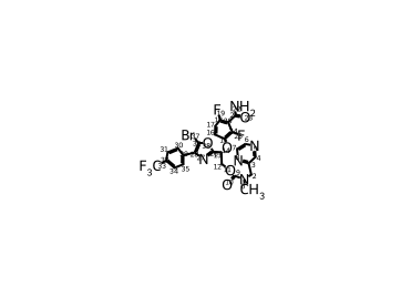 CN(Cc1cnccn1)C(=O)OCC(Oc1ccc(F)c(C(N)=O)c1F)c1nc(-c2ccc(C(F)(F)F)cc2)c(Br)o1